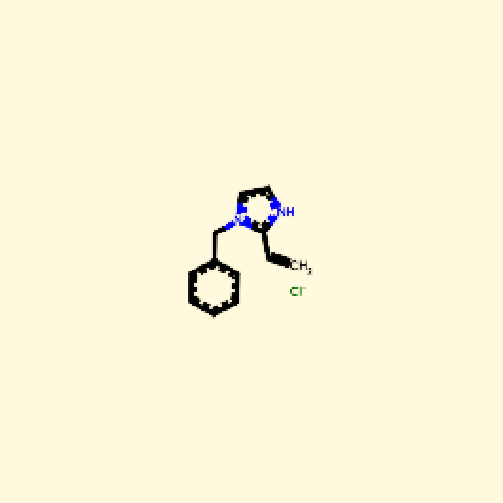 C=Cc1[nH]cc[n+]1Cc1ccccc1.[Cl-]